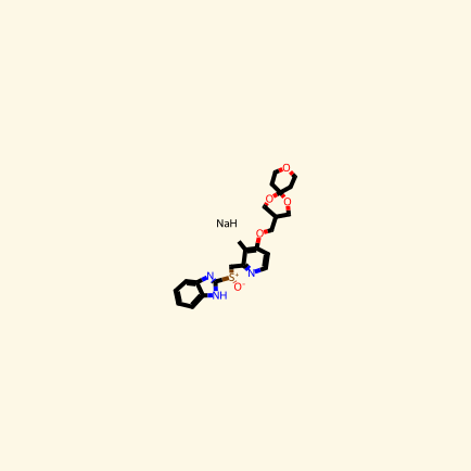 Cc1c(OCC2COC3(CCOCC3)OC2)ccnc1C[S+]([O-])c1nc2ccccc2[nH]1.[NaH]